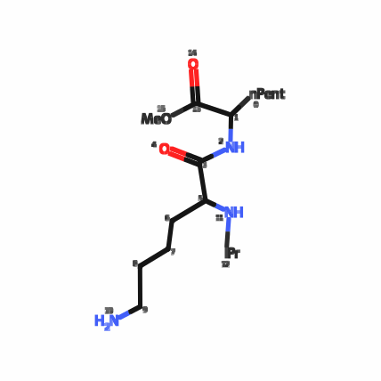 CCCCCC(NC(=O)C(CCCCN)NC(C)C)C(=O)OC